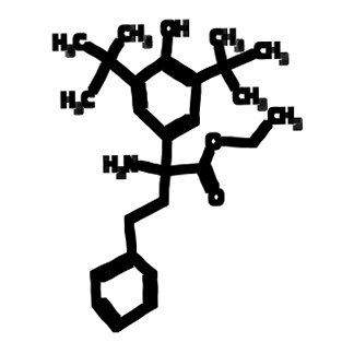 CCOC(=O)C(N)(CCc1ccccc1)c1cc(C(C)(C)C)c(O)c(C(C)(C)C)c1